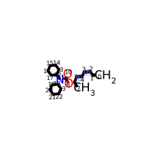 C=C/C=C\C=C\C(C)OC(=O)N(C1CCCCC1)C1CCCCC1